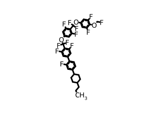 CCCC1CCC(c2ccc(-c3cc(F)c(C(F)(F)Oc4cc(F)c(C(F)(F)Oc5cc(F)c(OCF)c(F)c5)c(F)c4)c(F)c3)c(F)c2)CC1